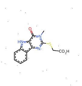 Cn1c(SCC(=O)O)nc2c([nH]c3ccccc32)c1=O